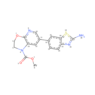 CC(C)OC(=O)N1CCOc2ncc(-c3ccc4nc(N)sc4c3)cc21